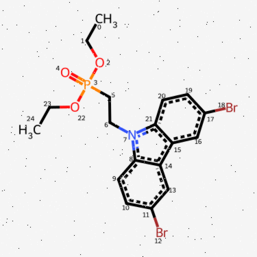 CCOP(=O)(CCn1c2ccc(Br)cc2c2cc(Br)ccc21)OCC